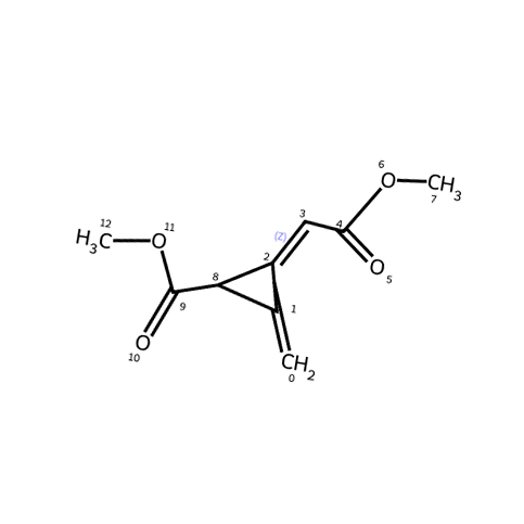 C=C1/C(=C\C(=O)OC)C1C(=O)OC